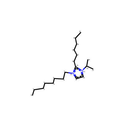 CCCCCCCC[n+]1ccn(C(C)C)c1CCCCCC